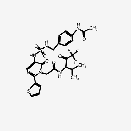 CC(=O)Nc1ccc(CNS(=O)(=O)Nc2cnc(-c3cccs3)n(CC(=O)NC(C(=O)C(F)(F)F)C(C)C)c2=O)cc1